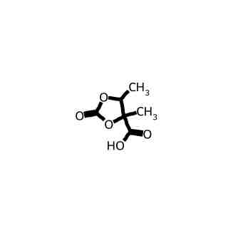 CC1OC(=O)OC1(C)C(=O)O